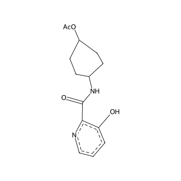 CC(=O)OC1CCC(NC(=O)c2ncccc2O)CC1